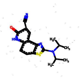 CC(C)N(c1nc2c(ccc3[nH]c(=O)c(C#N)cc32)s1)C(C)C